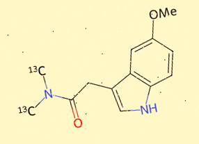 COc1ccc2[nH]cc(CC(=O)N([13CH3])[13CH3])c2c1